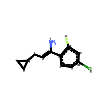 N/C(=C\CC1CC1)c1ccc(Cl)cc1F